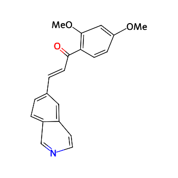 COc1ccc(C(=O)C=Cc2ccc3cnccc3c2)c(OC)c1